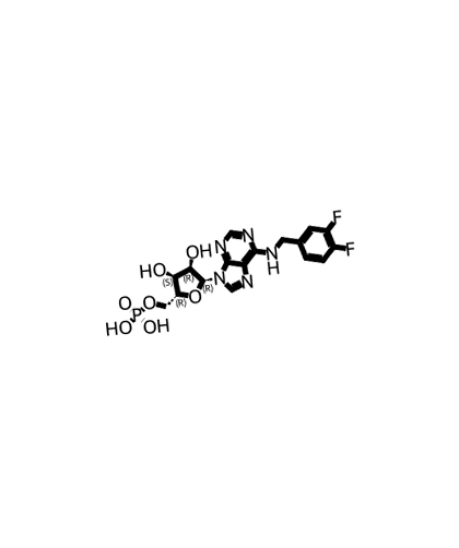 O=P(O)(O)OC[C@H]1O[C@@H](n2cnc3c(NCc4ccc(F)c(F)c4)ncnc32)[C@H](O)[C@@H]1O